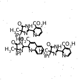 CC(C)C1(C)N=C(c2nc3ccccc3cc2C(=O)O)NC1=O.CC(C)C1(C)N=C(c2ncccc2C(=O)O)NC1=O.CC(C)C1(C)N=C(c2ncccc2C(=O)O)NC1=O